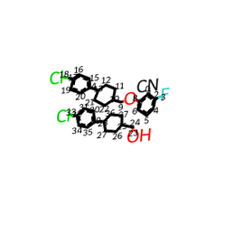 N#Cc1c(F)cccc1OCC1CCC(c2ccc(Cl)cc2)CC1.OCC1CCC(c2ccc(Cl)cc2)CC1